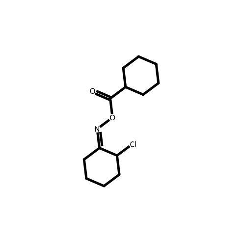 O=C(ON=C1CCCCC1Cl)C1CCCCC1